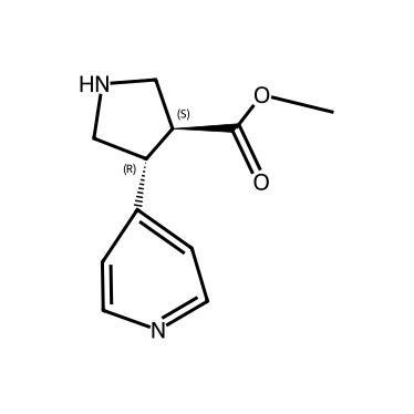 COC(=O)[C@@H]1CNC[C@H]1c1ccncc1